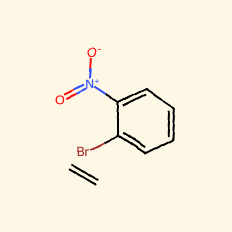 C=C.O=[N+]([O-])c1ccccc1Br